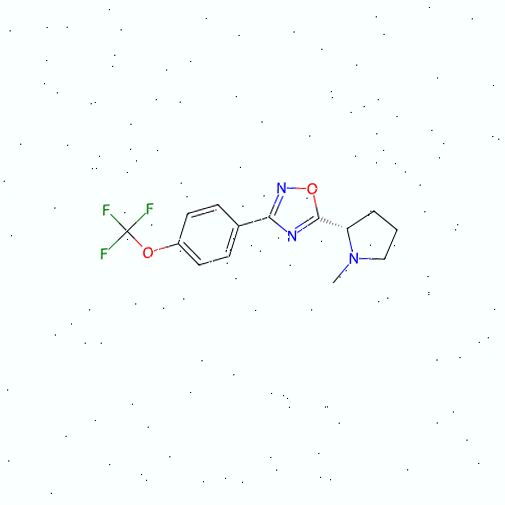 CN1CCC[C@H]1c1nc(-c2ccc(OC(F)(F)F)cc2)no1